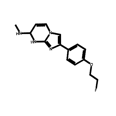 CNC1C=Cn2cc(-c3ccc(OCCF)cc3)nc2N1